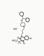 CC(C)(C(=O)O)n1c(=O)c2cc(F)ccc2n(CCCCN2CCC(OC(c3ccccc3)c3ccccc3)CC2)c1=O.Cl